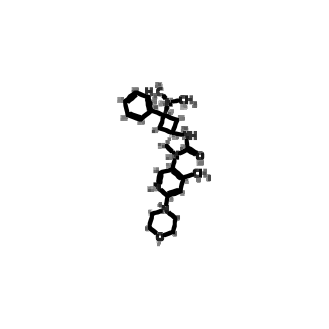 Cc1cc(N2CCOCC2)ncc1N1C[C@]2(C[C@](c3ccccc3)(N(C)C)C2)NC1=O